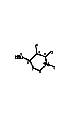 CC1C(C)N(C)CCC1C(C)(C)C